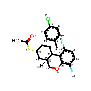 CC(=O)S[C@@H]1CC[C@@]2(Cc3ccc(Cl)cc3)c3c(F)ccc(F)c3OC[C@H]2C1